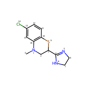 CN1CC(C2=NCCN2)Sc2ccc(Cl)cc21